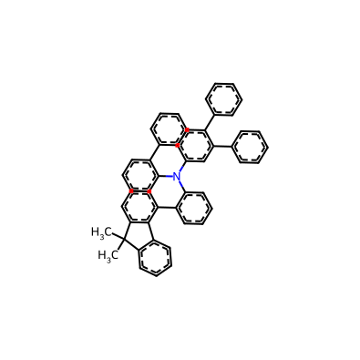 CC1(C)c2ccccc2-c2c(-c3ccccc3N(c3ccc(-c4ccccc4)c(-c4ccccc4)c3)c3ccccc3-c3ccccc3)cccc21